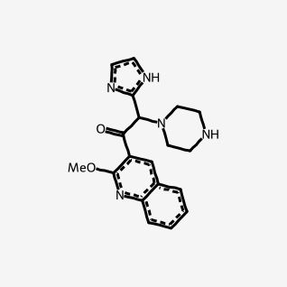 COc1nc2ccccc2cc1C(=O)C(c1ncc[nH]1)N1CCNCC1